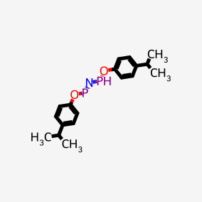 CC(C)c1ccc(OP=NPOc2ccc(C(C)C)cc2)cc1